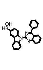 OBc1ccc2c(c1)c1ccccc1n2-c1nc(-c2ccccc2)c2ccccc2n1